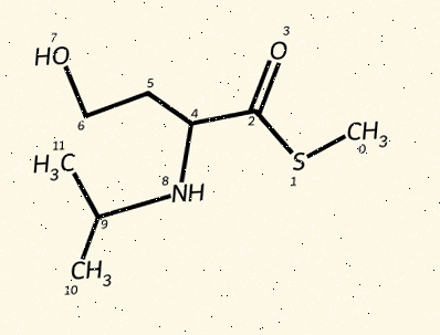 CSC(=O)C(CCO)NC(C)C